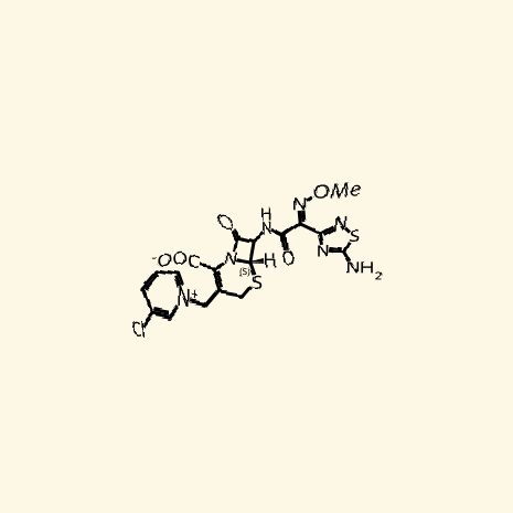 CON=C(C(=O)NC1C(=O)N2C(C(=O)[O-])=C(C[n+]3cccc(Cl)c3)CS[C@@H]12)c1nsc(N)n1